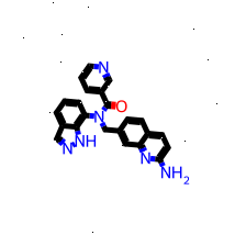 Nc1ccc2ccc(CN(C(=O)c3cccnc3)c3cccc4cn[nH]c34)cc2n1